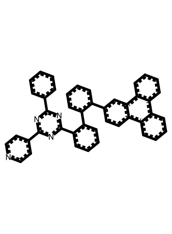 c1ccc(-c2nc(-c3ccncc3)nc(-c3ccccc3-c3ccccc3-c3ccc4c5ccccc5c5ccccc5c4c3)n2)cc1